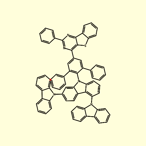 c1ccc(-c2nc(-c3cc(-c4ccccc4)c(-n4c5cc(-n6c7ccccc7c7ccccc76)ccc5c5c(-n6c7ccccc7c7ccccc76)cccc54)c(-c4ccccc4)c3)c3sc4ccccc4c3n2)cc1